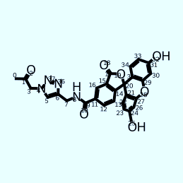 CC(=O)Cn1cc(CNC(=O)c2ccc3c(c2)C(=O)OC32c3ccc(O)cc3Oc3cc(O)ccc32)nn1